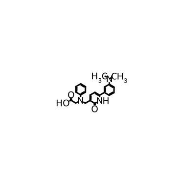 CN(C)c1cccc(-c2ccc(CN(CC(=O)O)c3ccccc3)c(=O)[nH]2)c1